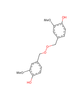 COc1cc(COOCc2ccc(O)c(OC)c2)ccc1O